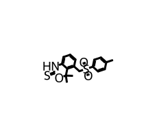 Cc1ccc(S(=O)(=O)Cc2cccc3c2C(C)(C)OC(=S)N3)cc1